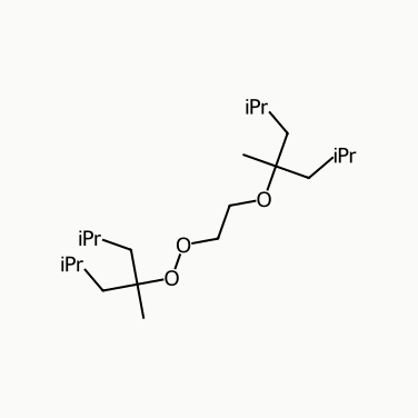 CC(C)CC(C)(CC(C)C)OCCOOC(C)(CC(C)C)CC(C)C